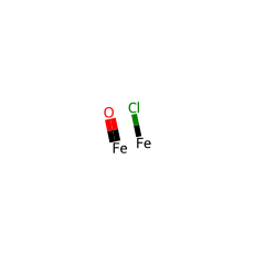 [Cl][Fe].[O]=[Fe]